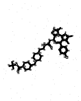 Cc1sc2c(c1C)C(c1ccc(Cl)cc1)=N[C@@H](CC(=O)NCCN1CCN(CC3CCN(C(=O)OC(C)(C)C)CC3)CC1)c1nnc(C)n1-2